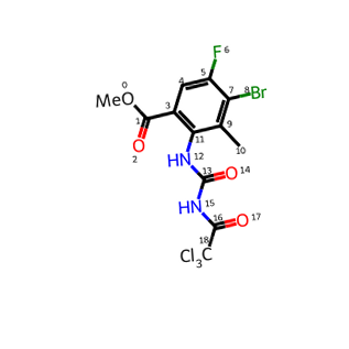 COC(=O)c1cc(F)c(Br)c(C)c1NC(=O)NC(=O)C(Cl)(Cl)Cl